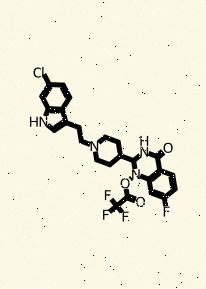 O=C1NC(C2CCN(CCc3c[nH]c4cc(Cl)ccc34)CC2)N(OC(=O)C(F)(F)F)c2cc(F)ccc21